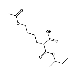 CCC(C)OC(=O)C(CCCCOC(C)=O)C(=O)O